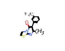 Cc1nc2sccn2c(=O)c1-c1cccc(C(F)(F)F)c1